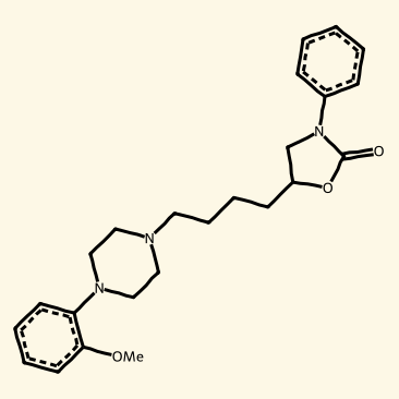 COc1ccccc1N1CCN(CCCCC2CN(c3ccccc3)C(=O)O2)CC1